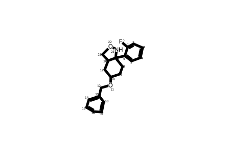 Fc1ccccc1C12CCC(OCc3ccccc3)CC1CON2